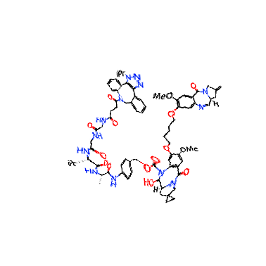 C=C1C[C@H]2C=Nc3cc(OCCCCCOc4cc5c(cc4OC)C(=O)N4CC6(CC6)C[C@H]4C(O)N5C(=O)OCc4ccc(NC(=O)[C@H](C)NC(=O)[C@@H](NC(=O)CNC(=O)CNC(=O)CCC(=O)N5Cc6ccccc6-c6nnn(C(C)C)c6-c6ccccc65)C(C)C)cc4)c(OC)cc3C(=O)N2C1